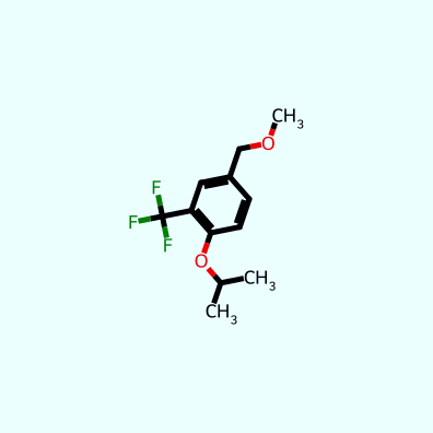 COCc1ccc(OC(C)C)c(C(F)(F)F)c1